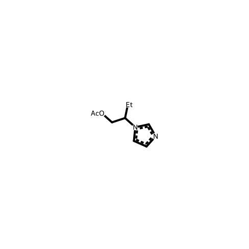 CCC(COC(C)=O)n1ccnc1